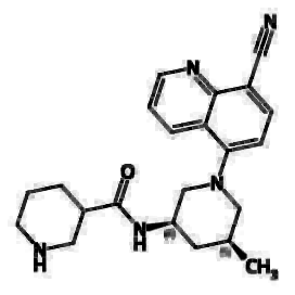 C[C@H]1C[C@@H](NC(=O)C2CCCNC2)CN(c2ccc(C#N)c3ncccc23)C1